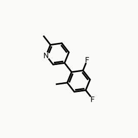 Cc1ccc(-c2c(C)cc(F)cc2F)cn1